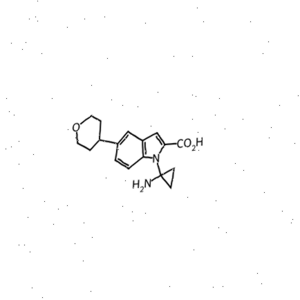 NC1(n2c(C(=O)O)cc3cc(C4CCOCC4)ccc32)CC1